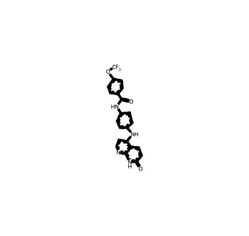 O=C(Nc1ccc(Nc2ccnc3[nH]c(=O)ccc23)cc1)c1ccc(OC(F)(F)F)cc1